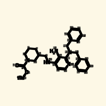 CC(C)(C)OC(=O)N1CCCC(CNc2ccnc(N(Cc3ccccc3)Cc3ccccc3)c2N)C1